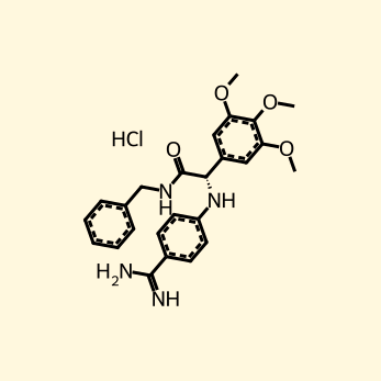 COc1cc([C@H](Nc2ccc(C(=N)N)cc2)C(=O)NCc2ccccc2)cc(OC)c1OC.Cl